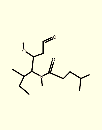 CCC(C)C(C(CC=O)OC)N(C)C(=O)CCC(C)C